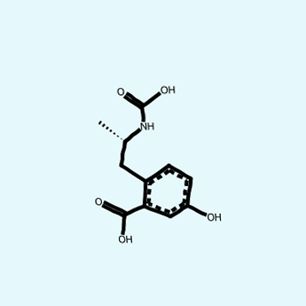 C[C@@H](Cc1ccc(O)cc1C(=O)O)NC(=O)O